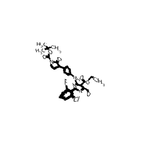 CCOC(=O)c1c(C=O)nc(-c2c(F)cccc2Cl)nc1Nc1ccc(C2CCN(C(=O)OC(C)(C)C)C2=O)cc1